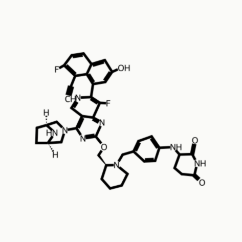 C#Cc1c(F)ccc2cc(O)cc(-c3ncc4c(N5C[C@H]6CC[C@@H](C5)N6)nc(OC[C@@H]5CCCCN5Cc5ccc(NC6CCC(=O)NC6=O)cc5)nc4c3F)c12